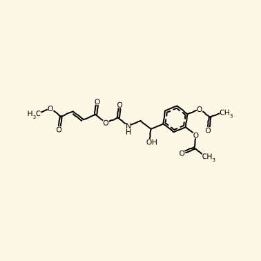 COC(=O)/C=C/C(=O)OC(=O)NCC(O)c1ccc(OC(C)=O)c(OC(C)=O)c1